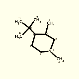 CC1CN(C)CCC1C(C)(C)C